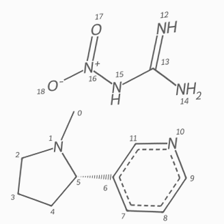 CN1CCC[C@H]1c1cccnc1.N=C(N)N[N+](=O)[O-]